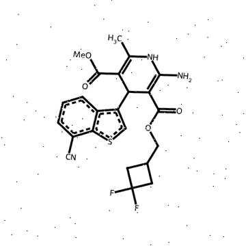 COC(=O)C1=C(C)NC(N)=C(C(=O)OCC2CC(F)(F)C2)C1c1csc2c(C#N)cccc12